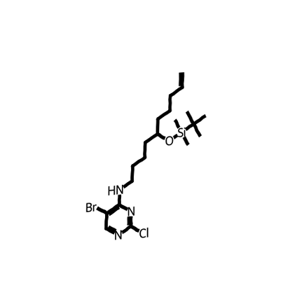 C=CCCCC(CCCCNc1nc(Cl)ncc1Br)O[Si](C)(C)C(C)(C)C